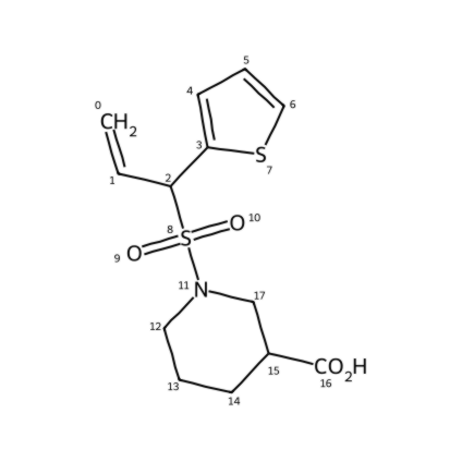 C=CC(c1cccs1)S(=O)(=O)N1CCCC(C(=O)O)C1